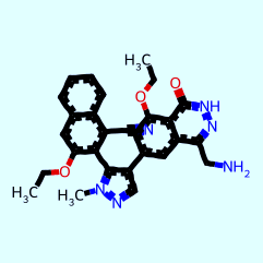 CCOc1cc2ccccc2c(C#N)c1-c1c(-c2cc(OCC)c3c(=O)[nH]nc(CN)c3c2)cnn1C